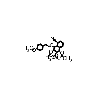 COc1ccc(CCOc2c(OC)c(OC)c(OC(C)=O)c3cccc(C#N)c23)cc1